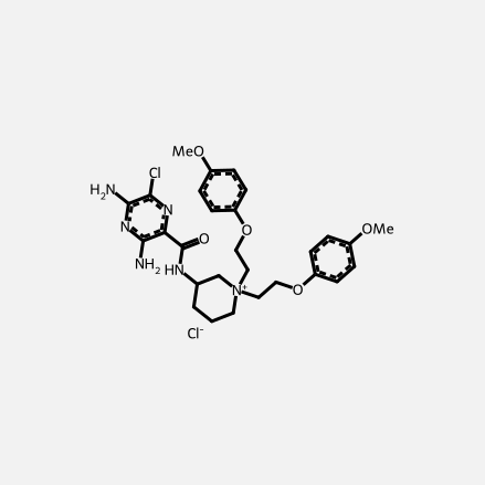 COc1ccc(OCC[N+]2(CCOc3ccc(OC)cc3)CCCC(NC(=O)c3nc(Cl)c(N)nc3N)C2)cc1.[Cl-]